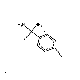 Cc1ccc(C(N)(N)F)cc1